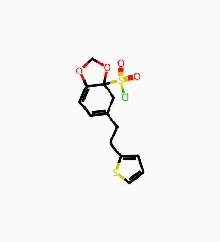 O=S(=O)(Cl)C12CC(CCc3cccs3)=CC=C1OCO2